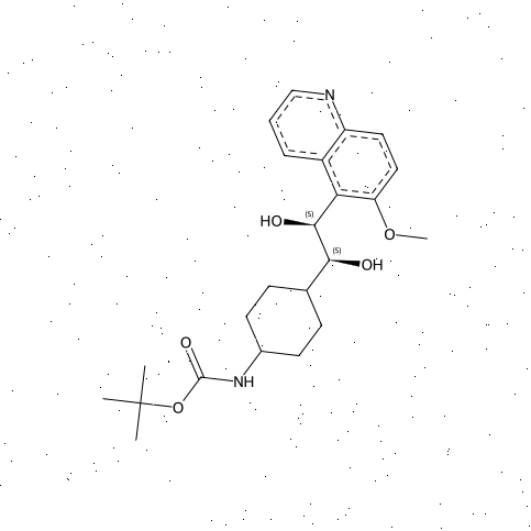 COc1ccc2ncccc2c1[C@H](O)[C@@H](O)C1CCC(NC(=O)OC(C)(C)C)CC1